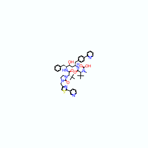 CN(C(=O)O)[C@H](C(=O)N[C@H](Cc1ccc(-c2ccccn2)cc1)C[C@H](O)[C@H](Cc1ccccc1)NC(=O)[C@@H](N1CCN(Cc2csc(-c3cccnc3)n2)C1=O)C(C)(C)C)C(C)(C)C